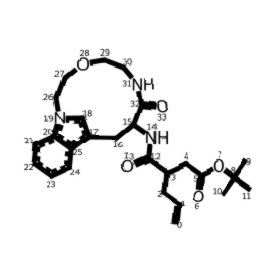 C=CCC(CC(=O)OC(C)(C)C)C(=O)NC1Cc2cn(c3ccccc23)CCOCCNC1=O